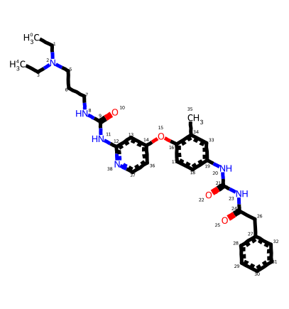 CCN(CC)CCCNC(=O)Nc1cc(Oc2ccc(NC(=O)NC(=O)Cc3ccccc3)cc2C)ccn1